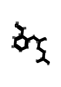 CN(C)CCN(C)Cc1ccccc1C=O